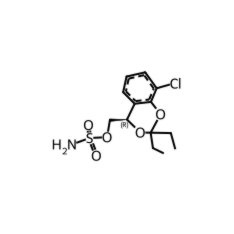 CCC1(CC)Oc2c(Cl)cccc2[C@H](COS(N)(=O)=O)O1